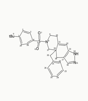 CC(C)(C)c1ccc(S(=O)(=O)N2CCC3=Cc4[nH]ncc4CC3(Cc3ccccc3)C2)cc1